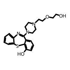 OCCOCCN1CCN(C2=Nc3ccccc3Sc3c(O)cccc32)CC1